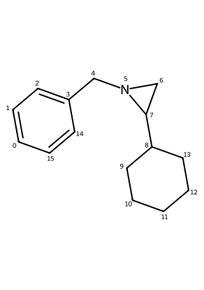 c1ccc(CN2CC2C2CCCCC2)cc1